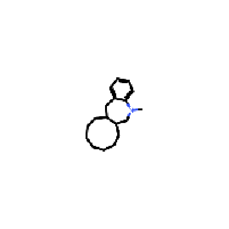 CN1CC2CCCCCCCC2Cc2ccccc21